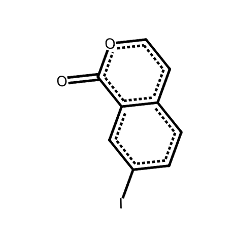 O=c1occc2ccc(I)cc12